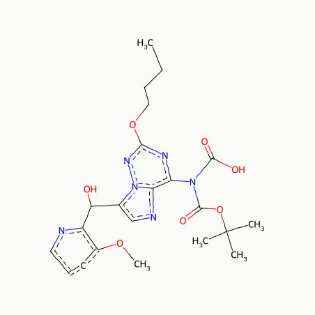 CCCCOc1nc(N(C(=O)O)C(=O)OC(C)(C)C)c2ncc(C(O)c3ncccc3OC)n2n1